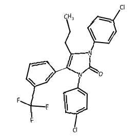 CCCc1c(-c2cccc(C(F)(F)F)c2)n(-c2ccc(Cl)cc2)c(=O)n1-c1ccc(Cl)cc1